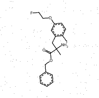 CC(N)(Cc1cc(OCCF)ccc1I)C(=O)OCc1ccccc1